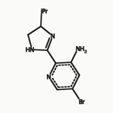 CC(C)C1CNC(c2ncc(Br)cc2N)=N1